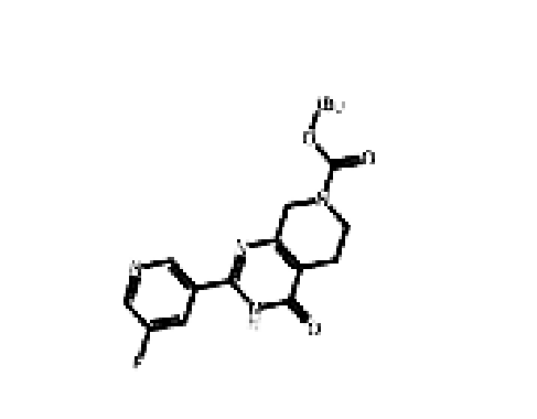 CC(C)(C)OC(=O)N1CCc2c(nc(-c3cncc(F)c3)[nH]c2=O)C1